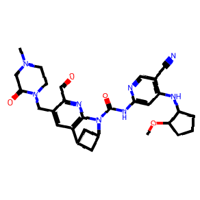 COC1CCCC1Nc1cc(NC(=O)N2c3nc(C=O)c(CN4CCN(C)CC4=O)cc3C3CC2C3)ncc1C#N